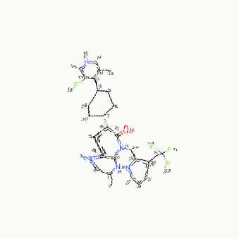 Cc1cnc2cc([C@H]3CC[C@H](c4c(C)cncc4F)CC3)c(=O)n(Cc3ncccc3C(F)(F)F)c2n1